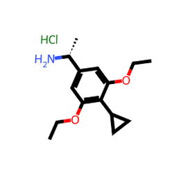 CCOc1cc([C@@H](C)N)cc(OCC)c1C1CC1.Cl